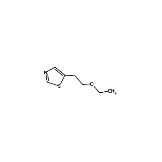 [CH2]COCCc1cncs1